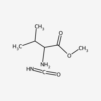 COC(=O)C(N)C(C)C.N=C=O